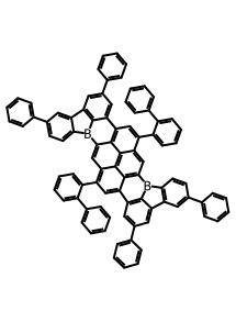 c1ccc(-c2ccc3c(c2)-c2cc(-c4ccccc4)cc4c2B3c2cc3c(-c5ccccc5-c5ccccc5)cc5c6c(cc7c(-c8ccccc8-c8ccccc8)cc-4c2c7c36)B2c3ccc(-c4ccccc4)cc3-c3cc(-c4ccccc4)cc-5c32)cc1